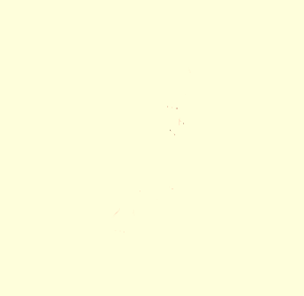 C=CCOC(=O)NNCCCC[C@H](C)OC(=O)c1ccccc1